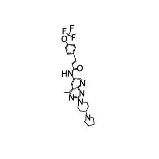 Cc1nc(N2CCC(N3CCCC3)CC2)nc2ncc(NC(=O)C=Cc3ccc(OC(F)(F)F)cc3)cc12